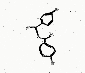 CCC(OC(CC)c1ccc(Br)cc1)c1ccc(Br)cc1